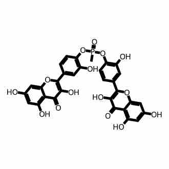 CP(=O)(Oc1ccc(-c2oc3cc(O)cc(O)c3c(=O)c2O)cc1O)Oc1ccc(-c2oc3cc(O)cc(O)c3c(=O)c2O)cc1O